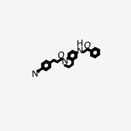 N#Cc1ccc(CCC(=O)N2CCCc3cc(NCC(=O)c4ccccc4)ccc32)cc1